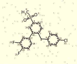 CS(=O)(=O)c1ncc(Cc2ncc(Cl)cn2)c(-c2ccc(F)c(F)c2)n1